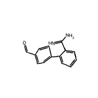 N=C(N)c1ccccc1-c1ccc(C=O)cc1